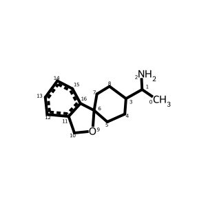 CC(N)C1CCC2(CC1)OCc1ccccc12